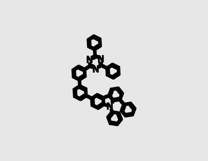 c1ccc(-c2nc(-c3ccccc3)nc(-c3cccc(-c4cccc(-c5ccc6c(c5)c5cccc(-c7ccccc7)c5n6-c5ccccc5)c4)c3)n2)cc1